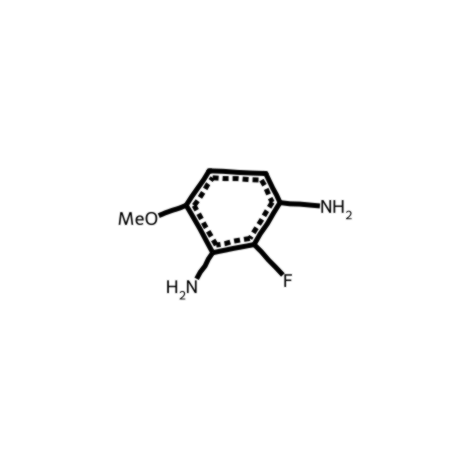 COc1ccc(N)c(F)c1N